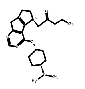 CCCC(=O)C[C@@H]1CCC2=C1c1c(ncnc1O[C@H]1CC[C@H](N(C)C)CC1)C2